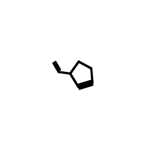 C=CC1C#CCC1